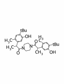 Cc1cc(C(C)(C)C)c(O)cc1C(C)C(=O)N1CCN(C(=O)C(C)c2cc(O)c(C(C)(C)C)cc2C)CC1